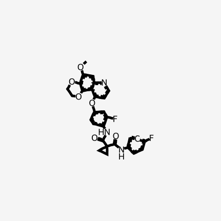 COc1cc2nccc(Oc3ccc(NC(=O)C4(C(=O)Nc5ccc(F)cc5)CC4)c(F)c3)c2c2c1OCCO2